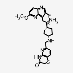 COc1ccc2ncc(F)c(C[C@@H](N)[C@H]3CC[C@@H](NCc4ccc5c(n4)NC(=O)CS5)CC3)c2n1